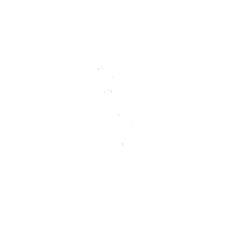 CCCC(=O)Nc1nc(CCl)cs1